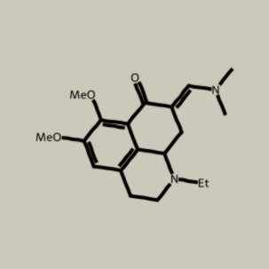 CCN1CCc2cc(OC)c(OC)c3c2C1C/C(=C\N(C)C)C3=O